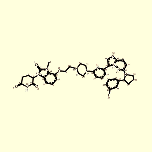 Cn1c(=O)n(C2CCC(=O)NC2=O)c2cccc(OCCN3CCN(c4cccc(-c5cnc6ccc(N7CCCC7c7cccc(F)c7)nn56)n4)CC3)c21